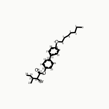 CCCCCCCOc1ccc(-c2ccc(OC(=O)C(Br)C(C)CC)cc2)cc1